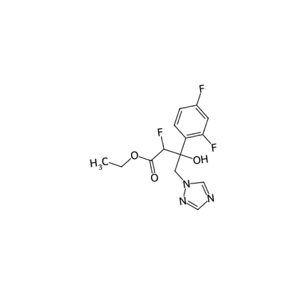 CCOC(=O)C(F)C(O)(Cn1cncn1)c1ccc(F)cc1F